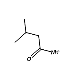 C[C](C)CC([NH])=O